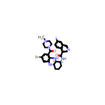 CN1CCN(C(=O)c2cc(Br)cc(N)c2N[C@@H]2CCCC[C@@H]2NC(=O)c2cncc3cc(I)ccc23)CC1